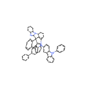 c1ccc(-c2ccc(N(c3ccc4c(c3)c3ccccc3n4-c3ccccc3)c3cccc4c3C3(c5ccccc5-c5ccccc53)c3nc5ccccc5n3-4)cc2)cc1